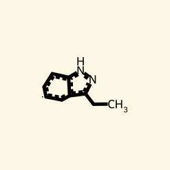 CCc1n[nH]c2cc[c]cc12